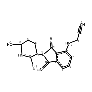 C#CCNc1cccc2c1C(=O)N(C1CCC(O)NC1O)C2=O